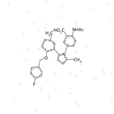 CC(=O)Nc1ccc(-n2c(C)ccc2-c2cc(C)ccc2OCc2ccc(F)cc2)cc1C(=O)O